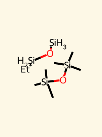 CC[SiH2]O[SiH3].C[Si](C)(C)O[Si](C)(C)C